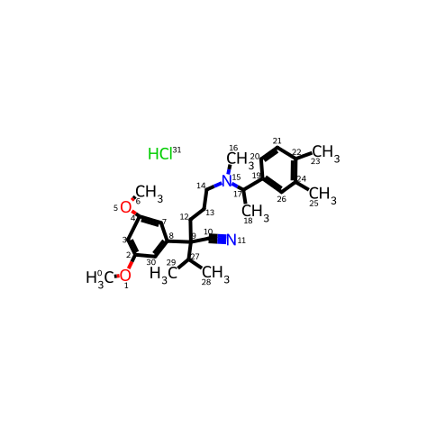 COc1cc(OC)cc(C(C#N)(CCCN(C)C(C)c2ccc(C)c(C)c2)C(C)C)c1.Cl